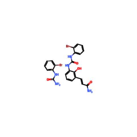 NC(=O)/C=C/c1cccc(NC(=O)Nc2ccccc2Br)c1O.NC(=O)Nc1ccccc1Br